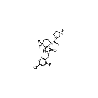 O=C([C@@H]1CCC(F)(F)c2nn(Cc3ncc(Cl)cc3F)c(=O)n21)N1CC[C@H](F)C1